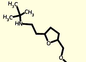 COCC1CCC(CCNC(C)(C)C)O1